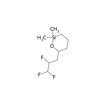 C[Si]1(C)CCCC(CC(F)C(F)F)O1